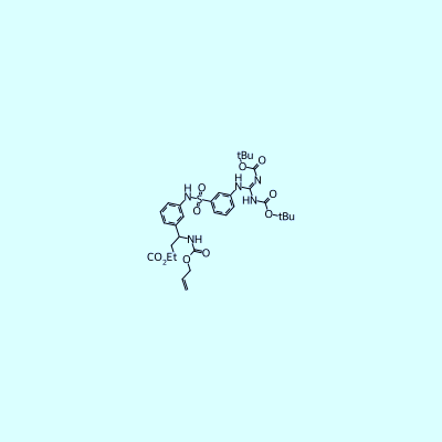 C=CCOC(=O)NC(CC(=O)OCC)c1cccc(NS(=O)(=O)c2cccc(NC(=NC(=O)OC(C)(C)C)NC(=O)OC(C)(C)C)c2)c1